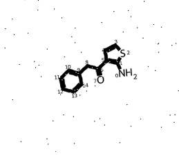 Nc1sccc1C(=O)Cc1ccccc1